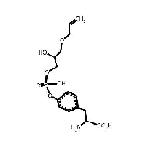 C=CCOC[C@H](O)COP(=O)(O)Oc1ccc(C[C@H](N)C(=O)O)cc1